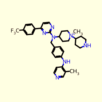 Cc1cnccc1Nc1ccc(CN(c2nccc(-c3ccc(C(F)(F)F)cc3)n2)C2CC[N+](C)(C3CCNCC3)CC2)cc1